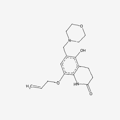 C=CCOc1cc(CN2CCOCC2)c(O)c2c1NC(=O)CC2